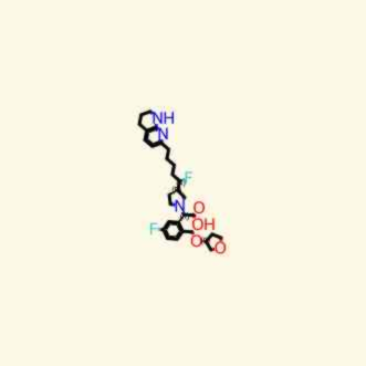 O=C(O)[C@@H](c1cc(F)ccc1CO[C@H]1CCOC1)N1CC[C@@H]([C@H](F)CCCCc2ccc3c(n2)NCCC3)C1